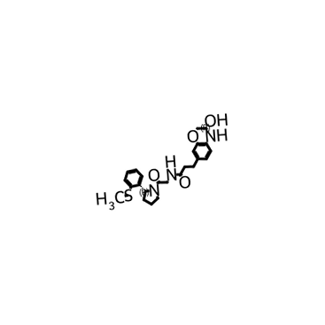 CSc1ccccc1[C@H]1CCCN1C(=O)CNC(=O)CCc1ccc2c(c1)OC[C@@H](O)N2